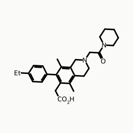 CCc1ccc(-c2c(C)c3c(c(C)c2CC(=O)O)CCN(CC(=O)N2CCCCC2)C3)cc1